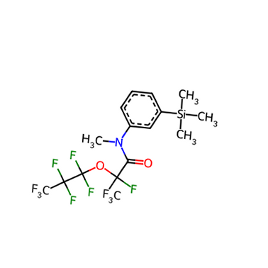 CN(C(=O)C(F)(OC(F)(F)C(F)(F)C(F)(F)F)C(F)(F)F)c1cccc([Si](C)(C)C)c1